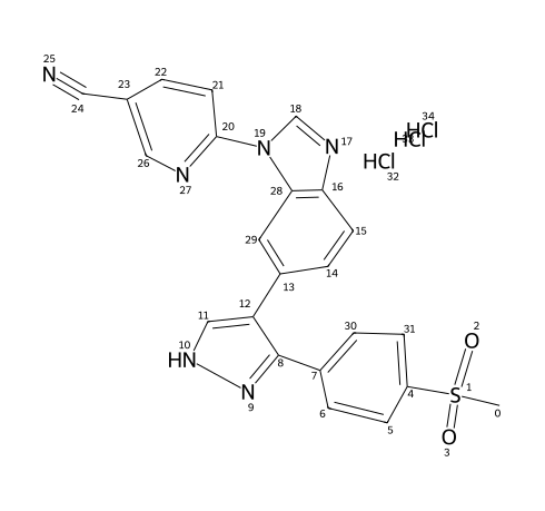 CS(=O)(=O)c1ccc(-c2n[nH]cc2-c2ccc3ncn(-c4ccc(C#N)cn4)c3c2)cc1.Cl.Cl.Cl